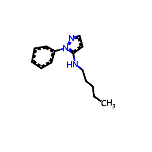 CCCCCNc1ccnn1-c1ccccc1